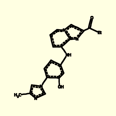 CCC(=O)c1cn2cccc(Nc3ccc(-n4cnc(C)c4)c(O)c3)c2n1